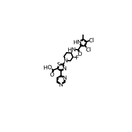 Cc1[nH]c(C(=O)N[C@@H]2CCN(c3nc(-c4ccncn4)c(C(=O)O)s3)C[C@@H]2F)c(Cl)c1Cl